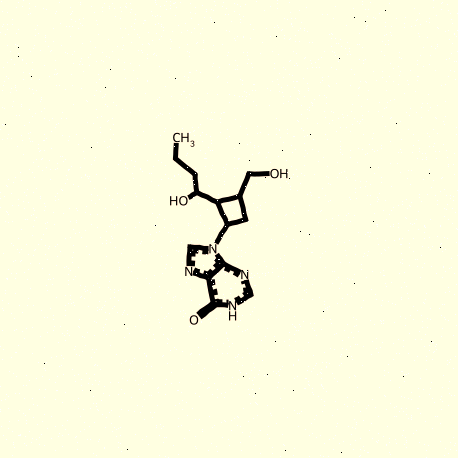 CCCC(O)C1C(CO)CC1n1cnc2c(=O)[nH]cnc21